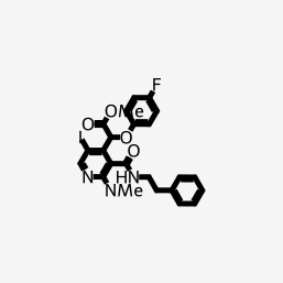 CNc1ncc(I)c(C(Oc2ccc(F)cc2)C(=O)OC)c1C(=O)NCCc1ccccc1